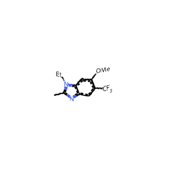 CCn1c(C)nc2cc(C(F)(F)F)c(OC)cc21